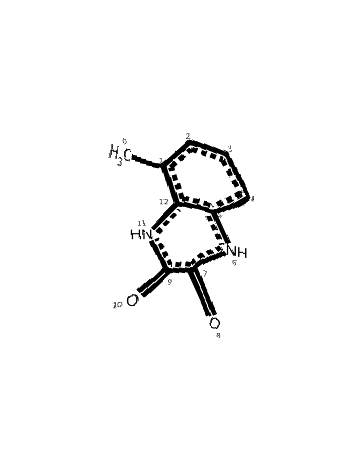 Cc1cccc2[nH]c(=O)c(=O)[nH]c12